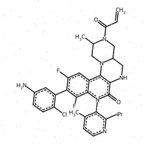 C=CC(=O)N1CC2CNc3c(c4cc(F)c(-c5cc(N)ccc5Cl)c(F)c4n(-c4c(C)ccnc4C(C)C)c3=O)N2CC1C